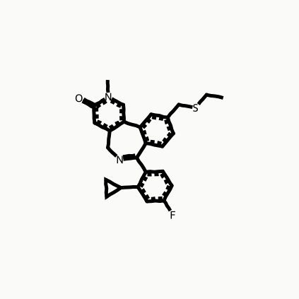 CCSCc1ccc2c(c1)-c1cn(C)c(=O)cc1CN=C2c1ccc(F)cc1C1CC1